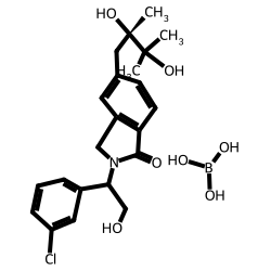 CC(C)(O)[C@@](C)(O)Cc1ccc2c(c1)CN(C(CO)c1cccc(Cl)c1)C2=O.OB(O)O